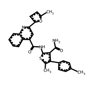 Cc1ccc(-c2c(C)sc(NC(=O)c3cc(-c4ccc(C)o4)nc4ccccc34)c2C(N)=O)cc1